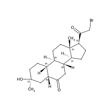 C[C@]1(O)CC[C@@H]2[C@H]3CC[C@]4(C)[C@@H](C(=O)CBr)CC[C@H]4[C@@H]3CC(=O)[C@@H]2C1